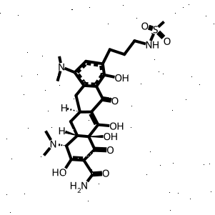 CN(C)c1cc(CCCNS(C)(=O)=O)c(O)c2c1C[C@@H]1C[C@H]3[C@@H](N(C)C)C(O)=C(C(N)=O)C(=O)[C@@]3(O)C(O)=C1C2=O